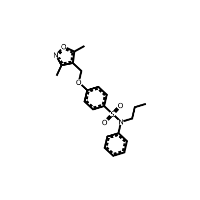 CCCN(c1ccccc1)S(=O)(=O)c1ccc(OCc2c(C)noc2C)cc1